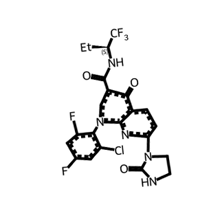 CC[C@H](NC(=O)c1cn(-c2c(F)cc(F)cc2Cl)c2nc(N3CCNC3=O)ccc2c1=O)C(F)(F)F